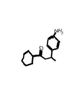 CC(CC(=O)C1CCCCC1)c1ccc(N)cc1